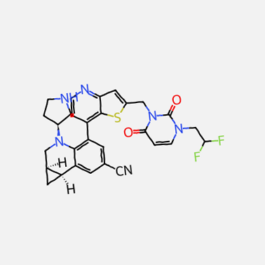 N#Cc1cc(-c2ccnc3cc(Cn4c(=O)ccn(CC(F)F)c4=O)sc23)c2c(c1)[C@H]1C[C@H]1CN2[C@H]1CCNC1